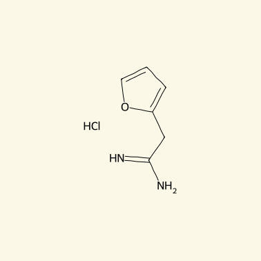 Cl.N=C(N)Cc1ccco1